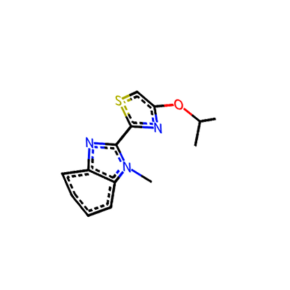 CC(C)Oc1csc(-c2nc3ccccc3n2C)n1